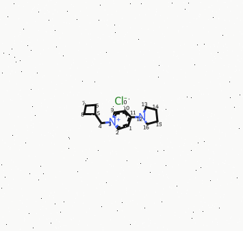 [Cl-].c1c[n+](CC2CCC2)ccc1N1CCCC1